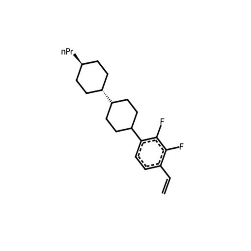 C=Cc1ccc(C2CCC([C@H]3CC[C@H](CCC)CC3)CC2)c(F)c1F